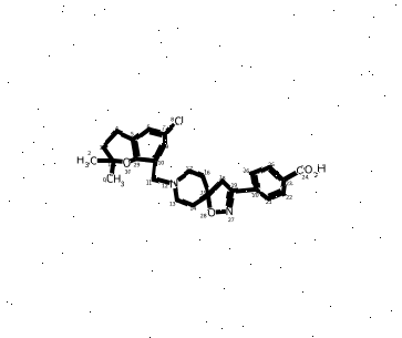 CC1(C)CCc2cc(Cl)cc(CN3CCC4(CC3)CC(c3ccc(C(=O)O)cc3)=NO4)c2O1